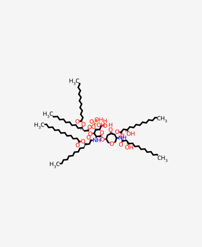 CCCCCCCCCCCCC(=O)O[C@H](CCCCCCCCCC)CC(=O)NC1C(OC(=O)C[C@@H](CCCCCCCCCC)OC(=O)CCCCCCCCCCCC)[C@H](OP(=O)(O)O)C(CO)O[C@H]1OC1COCC(NC(=O)C[C@H](O)CCCCCCCCCC)C(OC(=O)C[C@H](O)CCCCCCCCCC)[C@H](O)C1